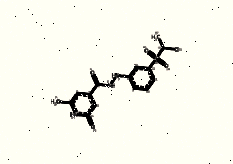 Cc1cc(C(=O)NNc2cccc(S(=O)(=O)C(C)Cl)c2)cc(=O)[nH]1